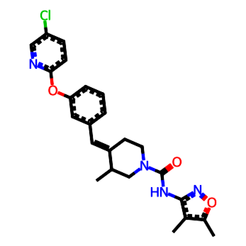 Cc1onc(NC(=O)N2CCC(=Cc3cccc(Oc4ccc(Cl)cn4)c3)C(C)C2)c1C